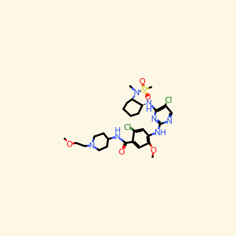 COCCN1CCC(NC(=O)c2cc(OC)c(Nc3ncc(Cl)c(N[C@@H]4CCCC[C@H]4N(C)S(C)(=O)=O)n3)cc2Cl)CC1